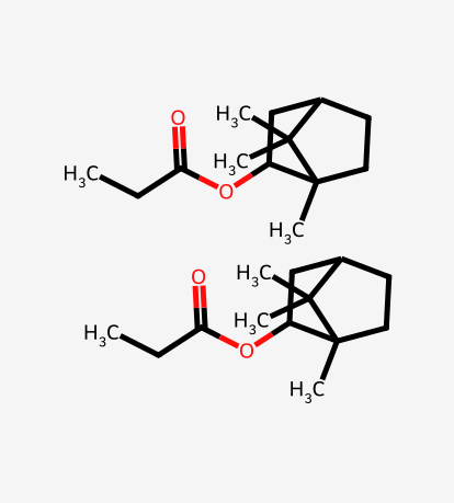 CCC(=O)OC1CC2CCC1(C)C2(C)C.CCC(=O)OC1CC2CCC1(C)C2(C)C